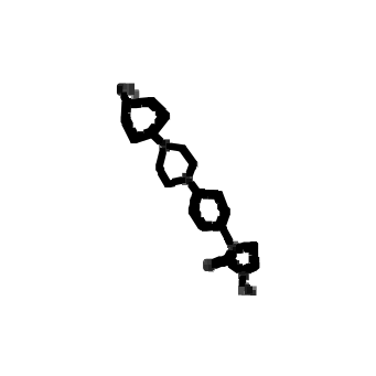 CCC(C)n1ccn(-c2ccc(N3CCN(c4ccc(C)cc4)CC3)cc2)c1=O